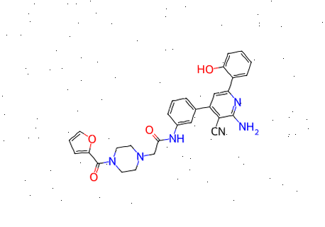 N#Cc1c(-c2cccc(NC(=O)CN3CCN(C(=O)c4ccco4)CC3)c2)cc(-c2ccccc2O)nc1N